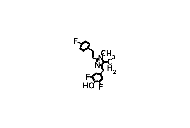 C=c1/c(=C/c2cc(F)c(O)c(F)c2)nc(/C=C/c2ccc(F)cc2)n1C